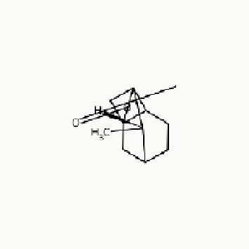 C[C@H]1C2CCC3C4(C2)CC31OC4=O